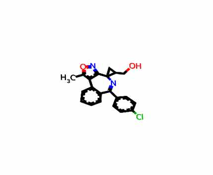 Cc1onc2c1-c1ccccc1C(c1ccc(Cl)cc1)=NC21CC1CO